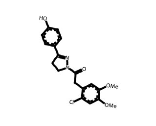 COc1cc(Cl)c(CC(=O)N2CCC(c3ccc(O)cc3)=N2)cc1OC